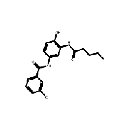 CCCCC(=O)Nc1cc(NC(=O)c2cccc(Cl)c2)ccc1O